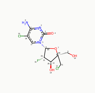 Nc1nc(=O)n([C@@H]2O[C@@](CO)(CCl)[C@@H](O)[C@@H]2F)cc1Cl